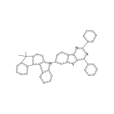 CC1(C)c2ccccc2-c2c1ccc1c2c2ccccc2n1-c1ccc2c(c1)sc1c(-c3ccccc3)nc(-c3ccccc3)nc12